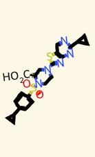 O=C(O)[C@H]1CN(c2nc3nc(C4CC4)ncc3s2)CCN1S(=O)(=O)c1ccc(C2CC2)cc1